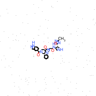 Cc1noc([C@@H]2CNCC2NC(=O)CN2CN(c3ccccc3)C3(CCN(C(=O)c4ccc5[nH]ncc5c4)CC3)C2=O)n1